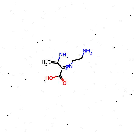 C=C(N)/C(=N\CCN)C(=O)O